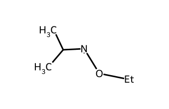 CCO[N]C(C)C